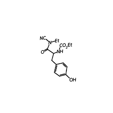 CCOC(=O)NC(Cc1ccc(O)cc1)C(=O)N(C#N)CC